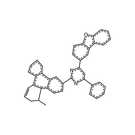 CC1CC=Cc2c1c1ccc(-c3nc(-c4ccccc4)cc(-c4ccc5oc6ccccc6c5c4)n3)cc1c1ccccc21